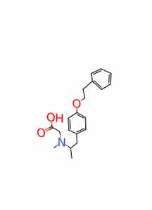 CC(Cc1ccc(OCCc2ccccc2)cc1)N(C)CC(=O)O